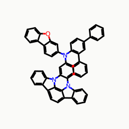 c1ccc(-c2ccc(N(c3ccc4c(c3)oc3ccccc34)c3ccc4c(c3)n3c5ccccc5c5ccc6c7ccccc7n4c6c53)c(-c3ccccc3)c2)cc1